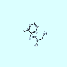 CCC(O)CO.Cc1ccccc1C